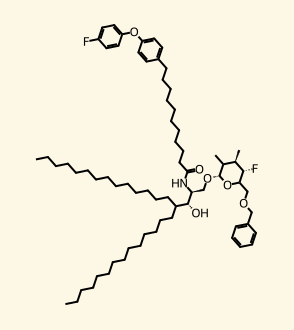 CCCCCCCCCCCCCCC(CCCCCCCCCCCCCC)[C@@H](O)[C@H](CO[C@H]1OC(COCc2ccccc2)[C@@H](F)[C@H](C)C1C)NC(=O)CCCCCCCCCCc1ccc(Oc2ccc(F)cc2)cc1